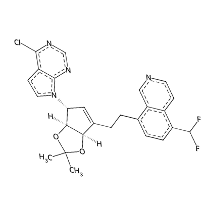 CC1(C)O[C@@H]2[C@H](O1)C(CCc1ccc(C(F)F)c3ccncc13)=C[C@H]2n1ccc2c(Cl)ncnc21